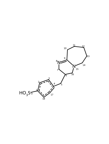 O=S(=O)(O)c1ccc(CC2CN=C3CCCCCN3C2)cc1